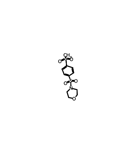 CS(=O)(=O)c1ccc(S(=O)(=O)N2CCOCC2)cc1